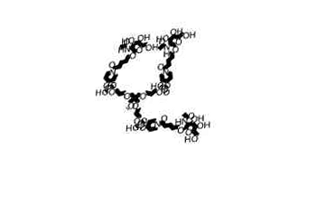 COCC(COCCCOP(=O)(O)OC1CCN(C(=O)CCCCO[C@@H]2OC(CO)[C@H](O)[C@H](O)C2NC(C)=O)CC1)(COCCCOP(=O)(O)OC1CCN(C(=O)CCCCO[C@@H]2OC(CO)[C@H](O)C(O)[C@@H]2NC(C)=O)CC1)COCCCOP(=O)(O)OC1CCN(C(=O)CCCCO[C@@H]2OC(CO)[C@H](O)C(O)[C@@H]2NC(C)=O)CC1